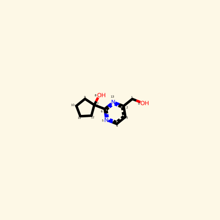 OCc1ccnc(C2(O)CCCC2)n1